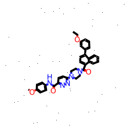 CCOc1cccc(-c2ccc(C(=O)N3CCN(c4ccc(C(=O)Nc5ccc(OC)cc5)nn4)CC3)c3ccccc23)c1